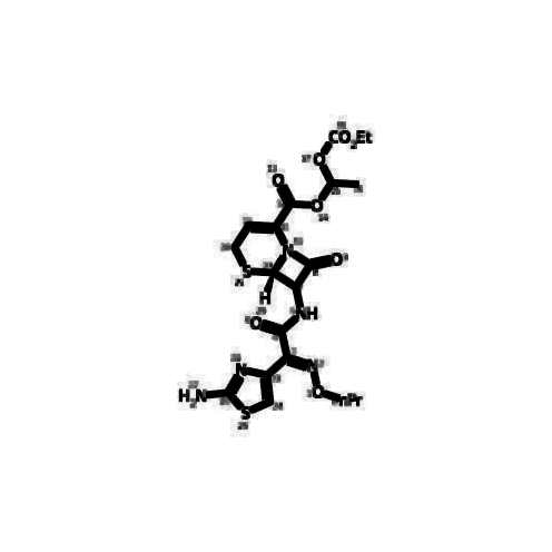 CCCON=C(C(=O)NC1C(=O)N2C(C(=O)OC(C)OC(=O)OCC)=CCS[C@@H]12)c1csc(N)n1